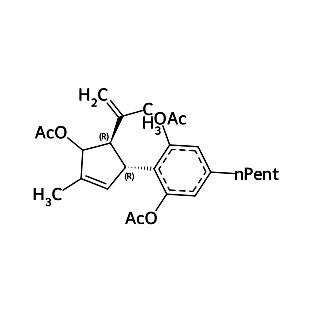 C=C(C)[C@@H]1C(OC(C)=O)C(C)=C[C@H]1c1c(OC(C)=O)cc(CCCCC)cc1OC(C)=O